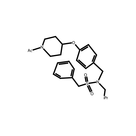 CC(=O)N1CCC(Oc2ccc(CN(CC(C)C)S(=O)(=O)Cc3ccccc3)cc2)CC1